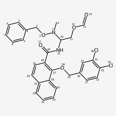 CN(OCc1ccccc1)C(COC=O)NC(=O)c1ccc2ccccc2c1OCc1ccc(Cl)c(Cl)c1